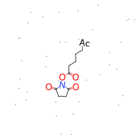 CC(=O)CCCCC(=O)ON1C(=O)CCC1=O